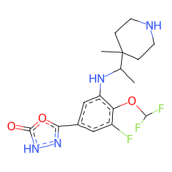 CC(Nc1cc(-c2n[nH]c(=O)o2)cc(F)c1OC(F)F)C1(C)CCNCC1